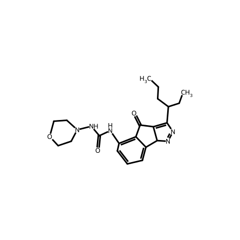 CCCC(CC)C1=C2C(=O)c3c(NC(=O)NN4CCOCC4)cccc3C2N=N1